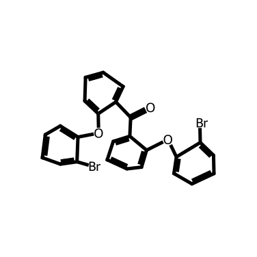 O=C(c1ccccc1Oc1ccccc1Br)c1ccccc1Oc1ccccc1Br